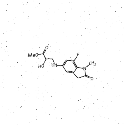 COC(=O)C(O)CNc1cc(F)c2c(c1)CC(=O)N2C